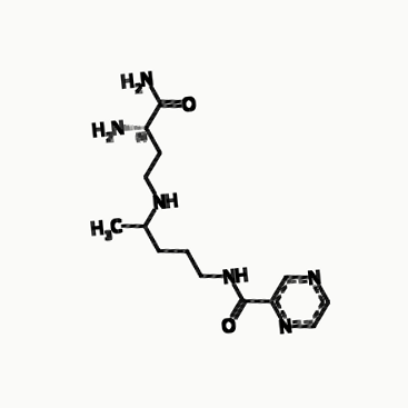 CC(CCCNC(=O)c1cnccn1)NCC[C@H](N)C(N)=O